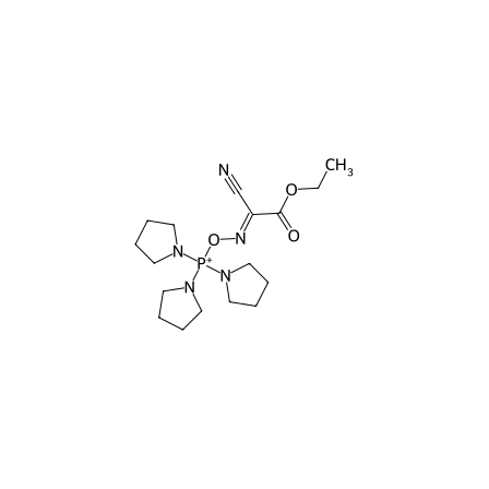 CCOC(=O)/C(C#N)=N/O[P+](N1CCCC1)(N1CCCC1)N1CCCC1